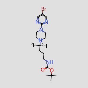 [2H]C([2H])(CCCNC(=O)OC(C)(C)C)N1CCN(c2ncc(Br)cn2)CC1